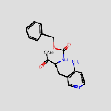 COC(=O)C(Cc1cnccc1N)NC(=O)OCc1ccccc1